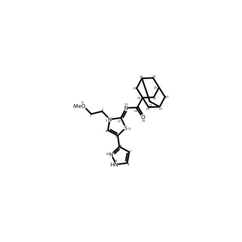 COCCn1cc(-c2cc[nH]n2)sc1=NC(=O)C12CC3CC(CC(C3)C1)C2